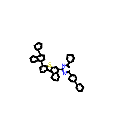 C=C(/N=C(\N=C(/C)c1ccc(-c2ccccc2)cc1)c1cc2sc3c(-c4ccc(-c5ccccc5)c5ccccc45)cccc3c2c2ccccc12)c1ccccc1